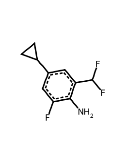 Nc1c(F)cc(C2CC2)cc1C(F)F